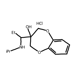 CCC(NC(C)C)C1(O)COc2ccccc2OC1.Cl